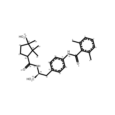 Cc1cccc(C)c1C(=O)Nc1ccc(C[C@H](NC(=O)C2CCC(C)(C(=O)O)C2(C)C)C(=O)O)cc1